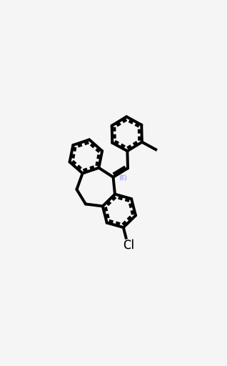 Cc1ccccc1/C=C1\c2ccccc2CCc2cc(Cl)ccc21